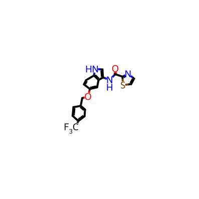 O=C(Nc1c[nH]c2ccc(OCc3ccc(C(F)(F)F)cc3)cc12)c1nccs1